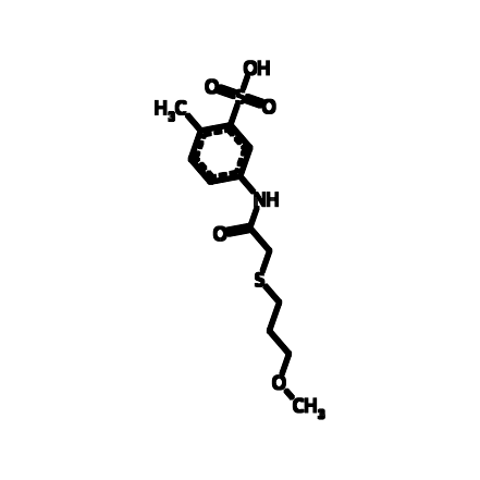 COCCCSCC(=O)Nc1ccc(C)c(S(=O)(=O)O)c1